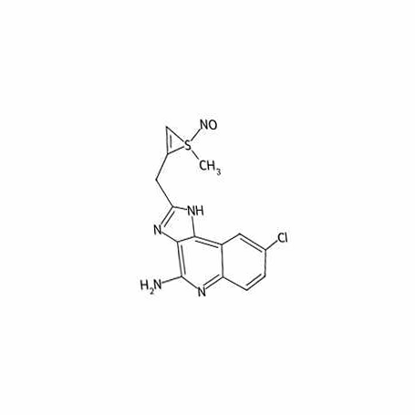 CS1(N=O)C=C1Cc1nc2c(N)nc3ccc(Cl)cc3c2[nH]1